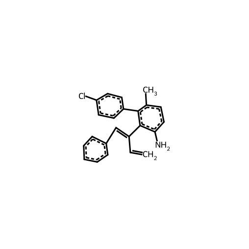 C=CC(=Cc1ccccc1)c1c(N)ccc(C)c1-c1ccc(Cl)cc1